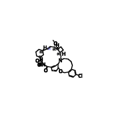 CO[C@H]1/C=C/[C@H]2CCC[C@@H](C2)S(=O)(=O)NC(=O)c2ccc3c(c2)N(CCCCc2cc(Cl)ccc2CO3)C[C@@H]2CC[C@H]21